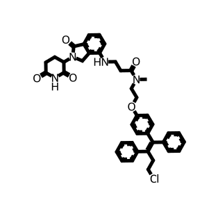 CN(CCOc1ccc(/C(=C(/CCCl)c2ccccc2)c2ccccc2)cc1)C(=O)CCNc1cccc2c1CN(C1CCC(=O)NC1=O)C2=O